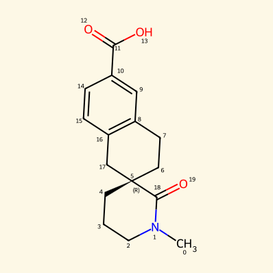 CN1CCC[C@@]2(CCc3cc(C(=O)O)ccc3C2)C1=O